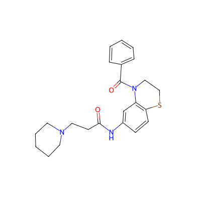 O=C(CCN1CCCCC1)Nc1ccc2c(c1)N(C(=O)c1ccccc1)CCS2